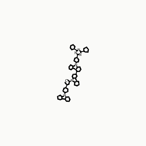 c1ccc(-c2nc(-c3ccccc3)nc(-c3ccc(-n4c5ccccc5c5c(-c6ccc7c(c6)c6ccccc6n7-c6cccc(-c7ccc(-n8c9ccccc9c9ccccc98)cc7)c6)cccc54)cc3)n2)cc1